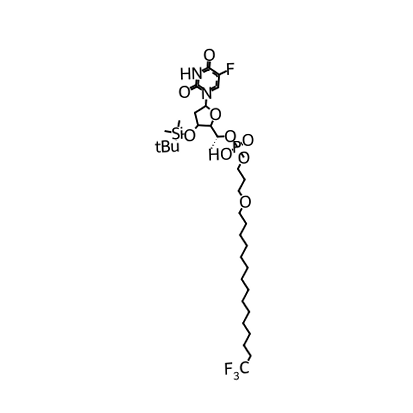 C[C@@H](OP(=O)(O)OCCCOCCCCCCCCCCCCCCC(F)(F)F)C1OC(n2cc(F)c(=O)[nH]c2=O)CC1O[Si](C)(C)C(C)(C)C